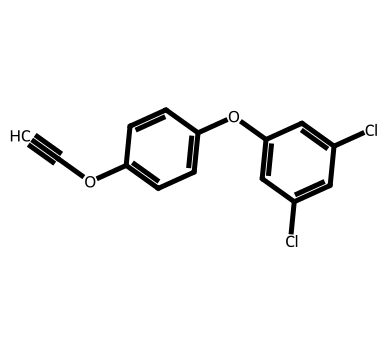 C#COc1ccc(Oc2cc(Cl)cc(Cl)c2)cc1